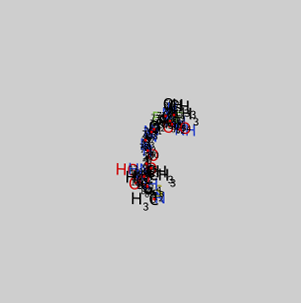 Cc1ncsc1-c1ccc(CNC(=O)[C@@H]2C[C@@H](O)CN2C(=O)[C@@H](NC(=O)CCCC(=O)N2CCN(Cc3cnc(N4CC=C(c5cc(NC(=O)c6c[nH]c(=O)cc6C(F)(F)F)c(N6C[C@@H](C)N(C)[C@@H](C)C6)cc5F)CC4)nc3)CC2)C(C)(C)C)cc1